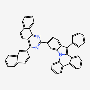 c1ccc(-c2c3ccc(-c4nc(-c5ccc6ccccc6c5)c5ccc6ccccc6c5n4)cc3n3c4ccccc4c4ccccc4c23)cc1